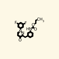 CCCOC(=O)Nc1cccc(Cc2nn(-c3cc(F)cc(F)c3)ccc2=O)c1